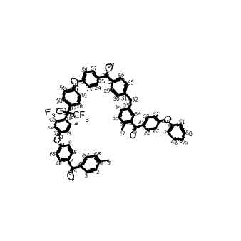 Cc1ccc(C(=O)c2ccc(Oc3ccc(C(c4ccc(Oc5ccc(C(=O)c6ccc(Cc7ccc(C)c(C(=O)c8ccc(Oc9ccccc9)cc8)c7)cc6)cc5)cc4)(C(F)(F)F)C(F)(F)F)cc3)cc2)cc1